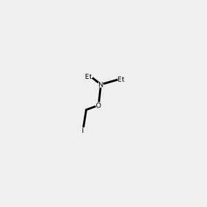 CCN(CC)OCI